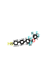 Fc1cc(OC(F)(F)c2c(F)cc(-c3ccc(C4CCC(S)CC4)cc3)cc2F)cc(F)c1F